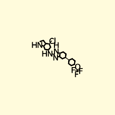 FC(F)(F)Oc1ccc(-c2ccc3[nH]c(Nc4cc(Cl)c5cc[nH]c5c4)nc3c2)cc1